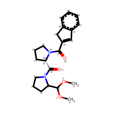 COC(OC)C1CCCN1C(=O)[C@@H]1CCCN1C(=O)C1=Cc2ccccc2C1